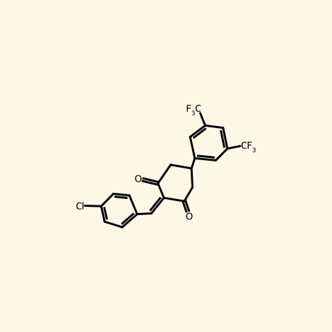 O=C1CC(c2cc(C(F)(F)F)cc(C(F)(F)F)c2)CC(=O)C1=Cc1ccc(Cl)cc1